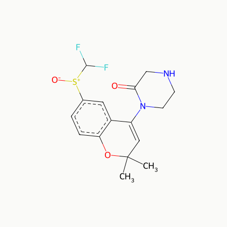 CC1(C)C=C(N2CCNCC2=O)c2cc([S+]([O-])C(F)F)ccc2O1